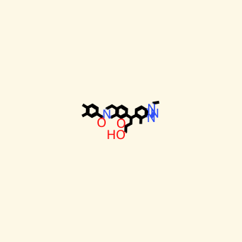 CCn1nnc2c(C)c(C(CC(=O)CO)c3ccc4c(c3)CN(C(=O)c3ccc(C)c(C)c3)CC4)ccc21